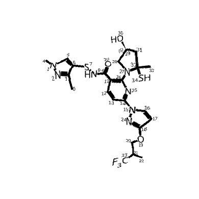 Cc1nn(C)cc1SNC(=O)c1ccc(-n2ccc(OCC(C)C(F)(F)F)n2)nc1N1C[C@@H](O)CC1(C)S